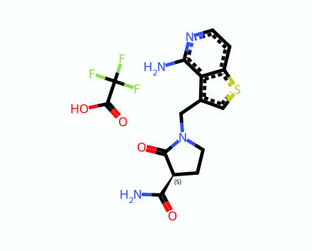 NC(=O)[C@@H]1CCN(Cc2csc3ccnc(N)c23)C1=O.O=C(O)C(F)(F)F